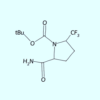 CC(C)(C)OC(=O)N1C(C(N)=O)CCC1C(F)(F)F